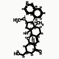 CO[C@@H]1C[C@H]2[C@@H]3OC4=C(C=C3CC[C@]2(C)[C@H]1c1cccc2cnccc12)C(=O)CC(CO)C4